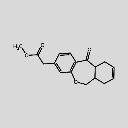 COC(=O)Cc1ccc2c(c1)OCC1CC=CCC1C2=O